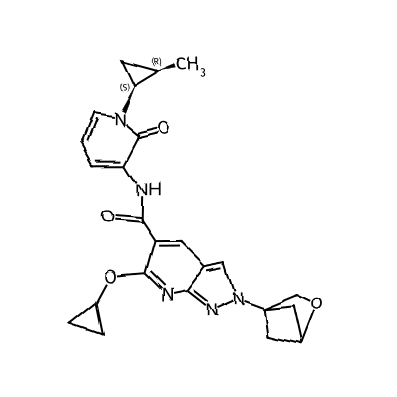 C[C@@H]1C[C@@H]1n1cccc(NC(=O)c2cc3cn(C45COC(C4)C5)nc3nc2OC2CC2)c1=O